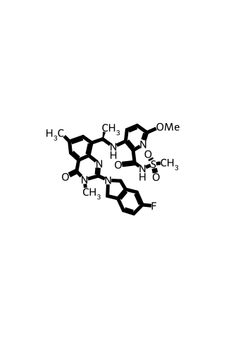 COc1ccc(N[C@H](C)c2cc(C)cc3c(=O)n(C)c(N4Cc5ccc(F)cc5C4)nc23)c(C(=O)NS(C)(=O)=O)n1